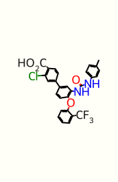 Cc1ccc(NC(=O)Nc2cc(-c3ccc(C(=O)O)c(Cl)c3)ccc2Oc2ccccc2C(F)(F)F)cc1